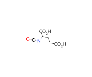 O=C=NC(CCC(=O)O)C(=O)O